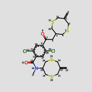 C=C1CSCC(CC(=O)c2cc(Cl)c(C(=O)N(C)C3CSCC(=C)CSC3)cc2Cl)CSC1